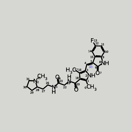 Cc1[nH]c(/C=C2\C(=O)Nc3ccc(F)cc32)c(C)c1C(=O)NCC(=O)NCCC1CCCN1C